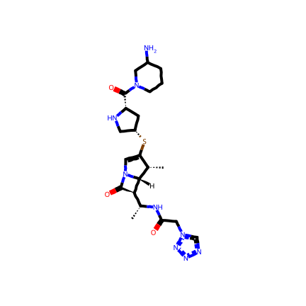 C[C@@H](NC(=O)Cn1cnnn1)[C@H]1C(=O)N2C=C(S[C@@H]3CN[C@H](C(=O)N4CCCC(N)C4)C3)[C@H](C)[C@H]12